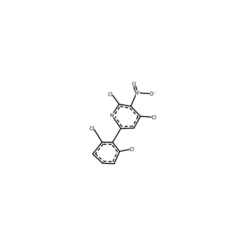 O=[N+]([O-])c1c(Cl)cc(-c2c(Cl)cccc2Cl)nc1Cl